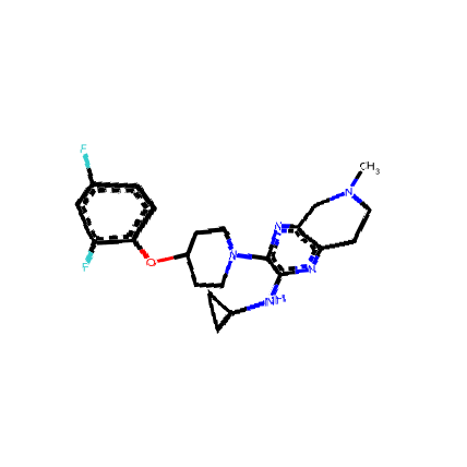 CN1CCc2nc(NC3CC3)c(N3CCC(Oc4ccc(F)cc4F)CC3)nc2C1